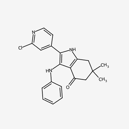 CC1(C)CC(=O)c2c([nH]c(-c3ccnc(Cl)c3)c2Nc2ccccc2)C1